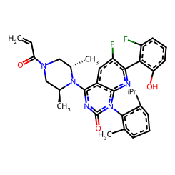 C=CC(=O)N1C[C@H](C)N(c2nc(=O)n(-c3c(C)cccc3C(C)C)c3nc(-c4c(O)cccc4F)c(F)cc23)[C@@H](C)C1